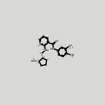 N#Cc1ccc(NC(=O)c2cccnc2NC[C@@H]2CCC[C@@H]2O)cc1C(F)(F)F